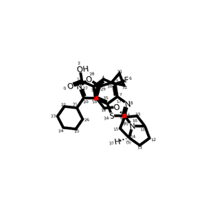 O=C(O)c1cc(F)c2nc(N3C4CC[C@H]3C[C@H](OCc3c(C5CCCCC5)noc3C3CC3)C4)sc2c1